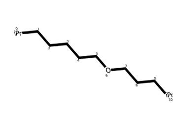 CC(C)CCCCCOCCCC(C)C